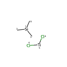 C[Si](C)C.[Cl][Ti][Cl]